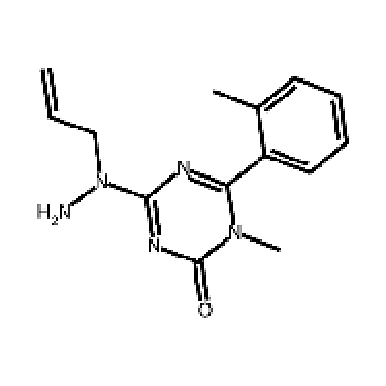 C=CCN(N)c1nc(-c2ccccc2C)n(C)c(=O)n1